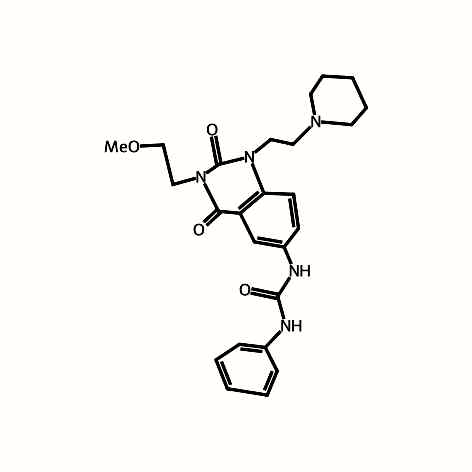 COCCn1c(=O)c2cc(NC(=O)Nc3ccccc3)ccc2n(CCN2CCCCC2)c1=O